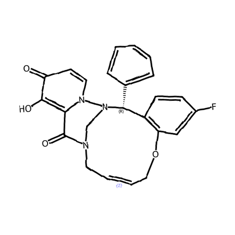 O=C1c2c(O)c(=O)ccn2N2CN1C/C=C\COc1cc(F)ccc1[C@H]2c1ccccc1